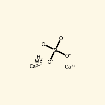 [Ca+2].[Ca+2].[MgH2].[O-][Si]([O-])([O-])[O-]